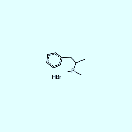 Br.CC(Cc1ccccc1)P(C)C